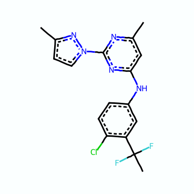 Cc1cc(Nc2ccc(Cl)c(C(C)(F)F)c2)nc(-n2ccc(C)n2)n1